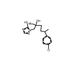 CC(CCC(O)(Cn1ncnc1S)C(C)(C)C)c1ccc(Cl)cc1